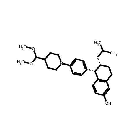 COC(OC)C1CCN(c2ccc([C@H]3c4ccc(O)cc4CC[C@H]3CC(C)C)cc2)CC1